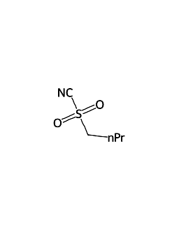 CCCCS(=O)(=O)C#N